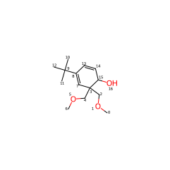 COCC1(COC)C=C(C(C)(C)C)C=CC1O